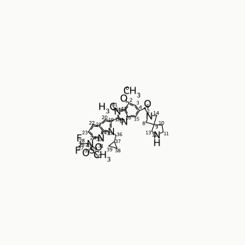 COc1cc(C(=O)N2CC3(CCNC3)C2)cc2nc(-c3cc4ccc(N(C(F)F)S(C)(=O)=O)nc4n3CC3CC3)n(C)c12